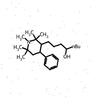 CCCCC(O)CCCC1C(c2ccccc2)CC(C)(C)N(C)C1(C)C